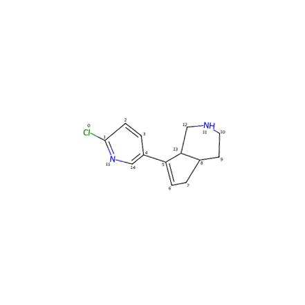 Clc1ccc(C2=CCC3CCNCC23)cn1